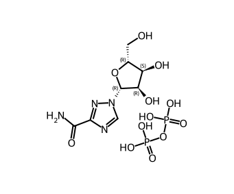 NC(=O)c1ncn([C@@H]2O[C@H](CO)[C@@H](O)[C@H]2O)n1.O=P(O)(O)OP(=O)(O)O